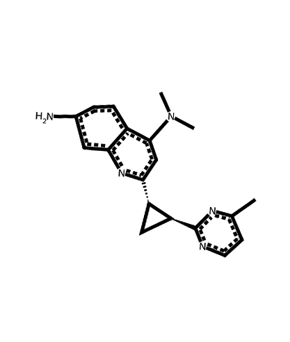 Cc1ccnc([C@H]2C[C@@H]2c2cc(N(C)C)c3ccc(N)cc3n2)n1